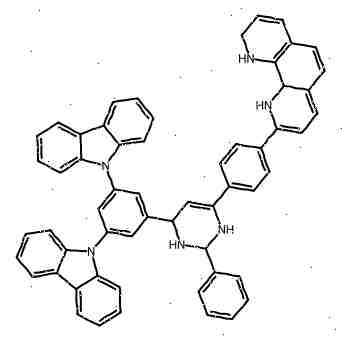 C1=CC2=C(NC1)C1NC(c3ccc(C4=CC(c5cc(-n6c7ccccc7c7ccccc76)cc(-n6c7ccccc7c7ccccc76)c5)NC(c5ccccc5)N4)cc3)=CC=C1C=C2